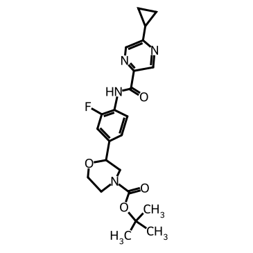 CC(C)(C)OC(=O)N1CCOC(c2ccc(NC(=O)c3cnc(C4CC4)cn3)c(F)c2)C1